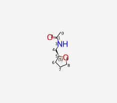 CC(=O)NC[C@@H]1CCCO1